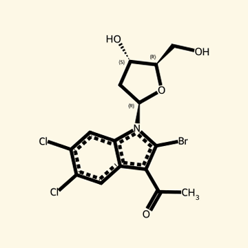 CC(=O)c1c(Br)n([C@H]2C[C@H](O)[C@@H](CO)O2)c2cc(Cl)c(Cl)cc12